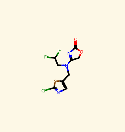 O=C1N=C(N(Cc2cnc(Cl)s2)CC(F)F)CO1